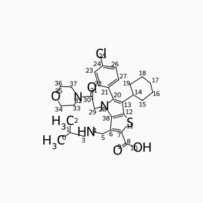 CC(C)CNCc1c(C(=O)O)sc2c(C3CCCCC3)c(-c3ccc(Cl)cc3)n(CC(=O)N3CCOCC3)c12